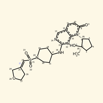 C[C@@]1(O)CCC[C@H]1n1c(=O)ccc2cnc(NC3CCN(S(=O)(=O)/C=C4\CCOC4)CC3)nc21